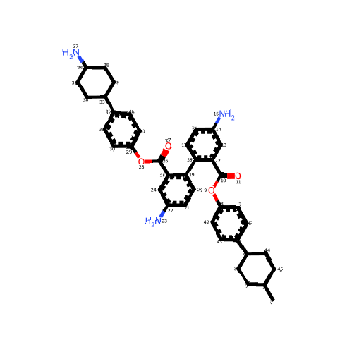 CC1CCC(c2ccc(OC(=O)c3cc(N)ccc3-c3ccc(N)cc3C(=O)Oc3ccc(C4CCC(N)CC4)cc3)cc2)CC1